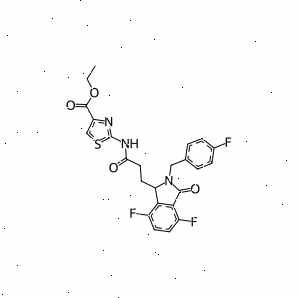 CCOC(=O)c1csc(NC(=O)CCC2c3c(F)ccc(F)c3C(=O)N2Cc2ccc(F)cc2)n1